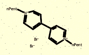 CCCCC[n+]1ccc(-c2cc[n+](CCCCC)cc2)cc1.[Br-].[Br-]